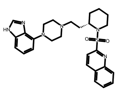 O=S(=O)(c1ccc2ccccc2n1)N1CCCC[C@H]1CCN1CCN(c2cccc3[nH]cnc23)CC1